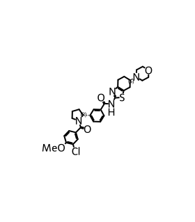 COc1ccc(C(=O)N2CCC[C@@H]2c2cccc(C(=O)Nc3nc4c(s3)C[C@@H](N3CCOCC3)CC4)c2)cc1Cl